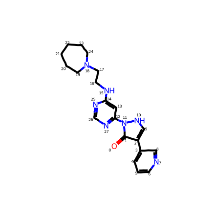 O=c1c(-c2cccnc2)c[nH]n1-c1cc(NCCN2CCCCCC2)ncn1